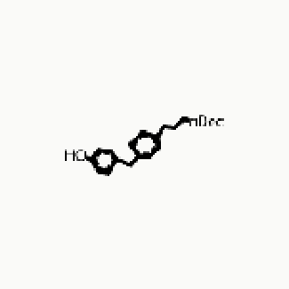 CCCCCCCCCCCCCc1ccc(Cc2ccc(O)cc2)cc1